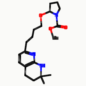 CC1(C)CCc2ccc(CCCCOC3CCCN3C(=O)OC(C)(C)C)nc2N1